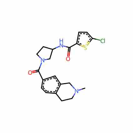 CN1CCc2ccc(C(=O)N3CCC(NC(=O)c4ccc(Cl)s4)C3)cc2C1